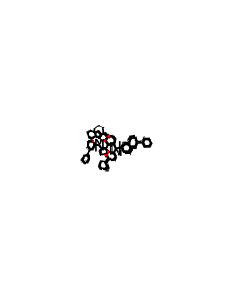 c1ccc(-c2ccc(N(c3ccc4cc(-c5ccccc5)ccc4c3)c3ccccc3-c3ccccc3N(c3cccc(-c4ccccc4)c3)c3cccc4oc5ccccc5c34)cc2)cc1